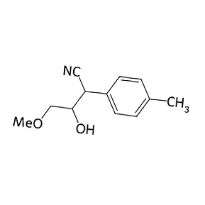 COCC(O)C(C#N)c1ccc(C)cc1